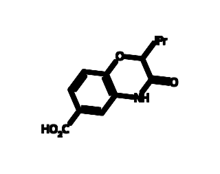 CC(C)C1Oc2ccc(C(=O)O)cc2NC1=O